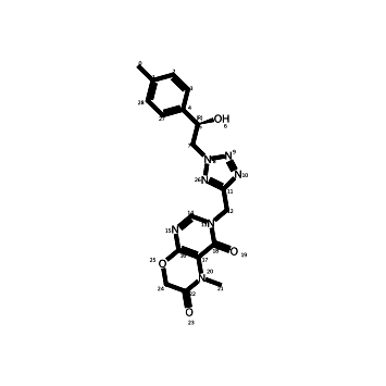 Cc1ccc([C@@H](O)Cn2nnc(Cn3cnc4c(c3=O)N(C)C(=O)CO4)n2)cc1